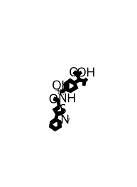 CC(C)C(C(=O)O)c1ccc([C@@H](CO)NC(=O)c2cc3c4ccccc4n(C)c3s2)cc1